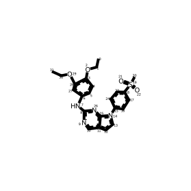 CCOc1ccc(Nc2ncc3ccn(-c4ccc(S(C)(=O)=O)cc4)c3n2)cc1OCC